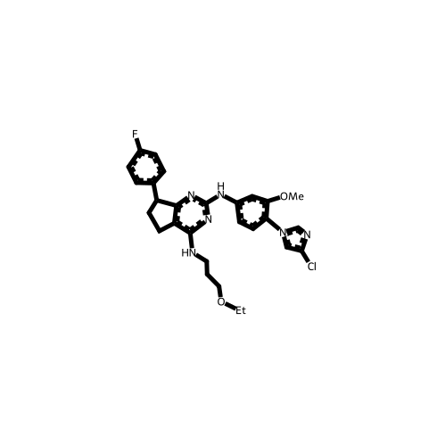 CCOCCCNc1nc(Nc2ccc(-n3cnc(Cl)c3)c(OC)c2)nc2c1CCC2c1ccc(F)cc1